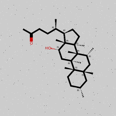 CC(=O)CC[C@@H](C)[C@H]1CC[C@]2(C)[C@]1(C)[C@@H](O)C[C@]1(C)[C@@]3(C)CC[C@@H](C)C[C@@]3(C)C[C@@H](C)[C@@]21C